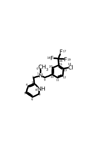 CN(CC1=CC=CCN1)Cc1ccc(Cl)c(C(F)(F)F)c1